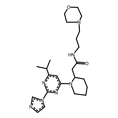 CC(C)c1cc(N2CCCCC2CC(=O)NCCCN2CCOCC2)nc(-n2ccnc2)n1